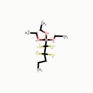 CCCC(S)(S)C(S)(S)[Si](OCC)(OCC)OCC